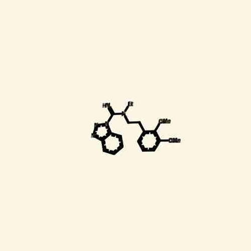 CCN(CCc1cccc(OC)c1OC)C(=N)n1nnc2ccccc21